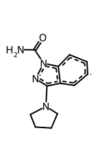 NC(=O)n1nc(N2CCCC2)c2c[c]ccc21